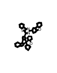 C1=C2Oc3ccccc3C3(C2=CCC1)c1cc(-c2nc(-c4ccc5oc6ccccc6c5c4)nc4c2sc2ccccc24)ccc1-c1c3ccc2ccccc12